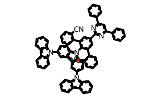 N#Cc1ccccc1-c1cc(-c2nc(-c3ccccc3)cc(-c3ccccc3)n2)cc(-c2ccccc2C#N)c1-n1c2ccc(-n3c4ccccc4c4ccccc43)cc2c2cc(-n3c4ccccc4c4ccccc43)ccc21